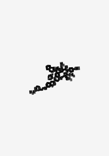 Cc1c(N(C(=O)c2cc(-c3cc4c(cc3C(=O)N3Cc5ccccc5C[C@H]3CN3CCCCC3)CN(C(=O)Cc3ccc(OCCN5CCOC(C)C5)cc3F)CC4)n(C)c2C)c2ccc(O)cc2)cc(C#N)n1C